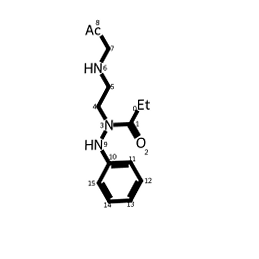 CCC(=O)N(CCNCC(C)=O)Nc1ccccc1